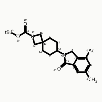 CC(=O)c1cc(C)cc2c1CN(C1CCC3(CC1)CN(C(=O)OC(C)(C)C)C3)C2=O